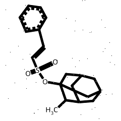 CC1C2CC3CC(C2)CC1(OS(=O)(=O)C=Cc1ccccc1)C3